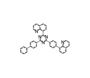 c1ccc(-c2ccc(-c3nc(-c4ccc(-c5cccc6cccnc56)cc4)nc(-c4cccc5cccnc45)n3)cc2)cc1